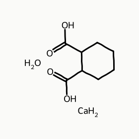 O.O=C(O)C1CCCCC1C(=O)O.[CaH2]